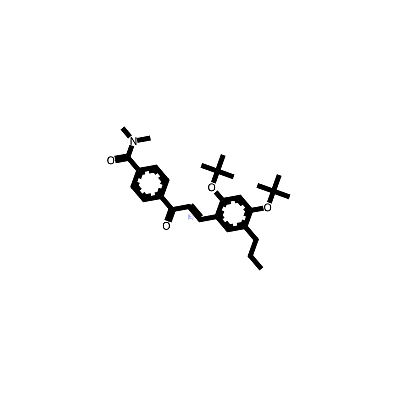 CCCc1cc(/C=C/C(=O)c2ccc(C(=O)N(C)C)cc2)c(OC(C)(C)C)cc1OC(C)(C)C